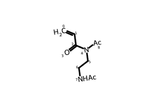 C=CC(=O)N(CCNC(C)=O)C(C)=O